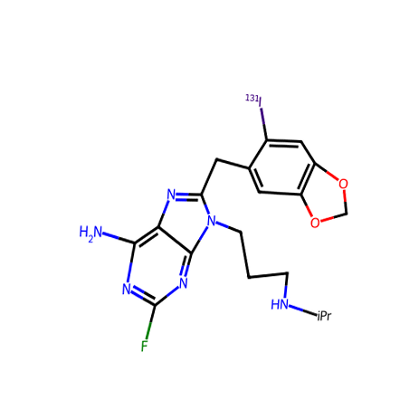 CC(C)NCCCn1c(Cc2cc3c(cc2[131I])OCO3)nc2c(N)nc(F)nc21